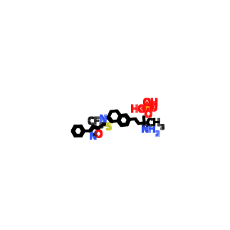 C[C@@](N)(CCc1ccc2c(c1)CCc1nc(-c3onc(-c4ccccc4)c3C(F)(F)F)sc1-2)COP(=O)(O)O